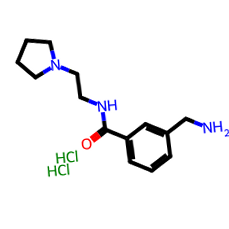 Cl.Cl.NCc1cccc(C(=O)NCCN2CCCC2)c1